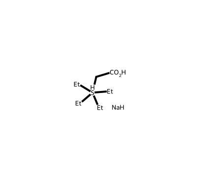 CC[SH](CC)(CC)(CC)CC(=O)O.[NaH]